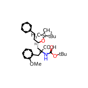 COc1ccccc1C[C@](C[C@H](CCc1ccccc1)O[Si](C)(C)C(C)(C)C)(NC(=O)OC(C)(C)C)C(=O)O